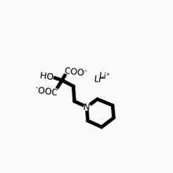 O=C([O-])C(O)(CCN1CCCCC1)C(=O)[O-].[Li+].[Li+]